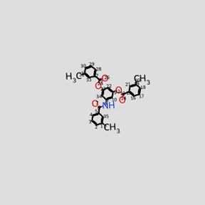 Cc1cccc(C(=O)Nc2cc(OC(=O)c3cccc(C)c3)cc(OC(=O)c3cccc(C)c3)c2)c1